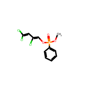 COP(=O)(OC=C(Cl)C=C(Cl)Cl)c1ccccc1